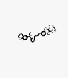 C[C@H](Oc1cccc(/C=C/Cn2cccc2C(=O)c2ccc3c(c2)CCCO3)c1)C(=O)O